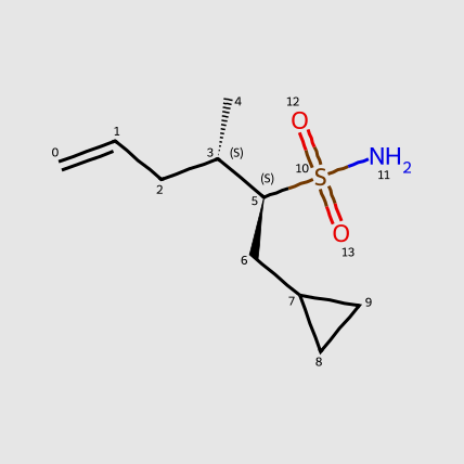 C=CC[C@H](C)[C@H](CC1CC1)S(N)(=O)=O